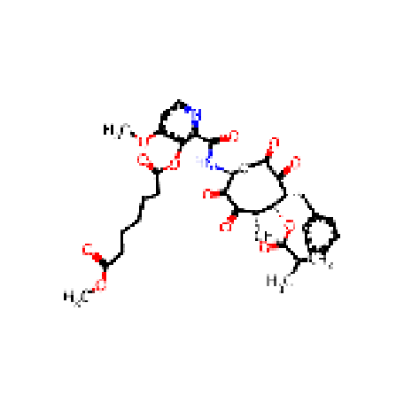 COC(=O)CCCCCC(=O)Oc1c(OC)ccnc1C(=O)N[C@H]1CC(=O)C(=O)[C@H](Cc2ccccc2)[C@H](OC(=O)C(C)C)[C@H](C)C(=O)C1=O